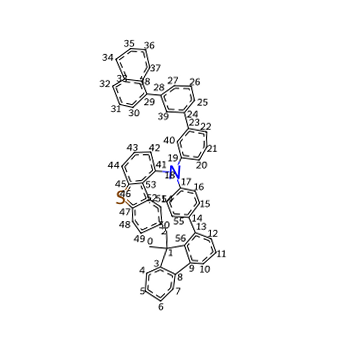 CC1(C)c2ccccc2-c2cccc(-c3ccc(N(c4cccc(-c5cccc(-c6cccc7ccccc67)c5)c4)c4cccc5sc6ccccc6c45)cc3)c21